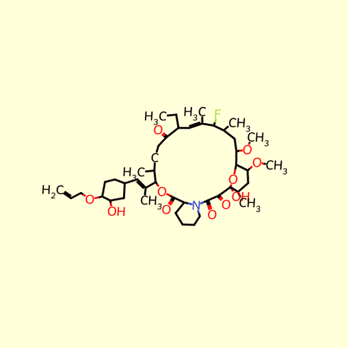 C=CCOC1CCC(C=C(C)C2OC(=O)C3CCCCN3C(=O)C(=O)C3(O)OC(C(OC)CC(C)C(F)/C(C)=C/C(CC)C(=O)CCC2C)C(OC)CC3C)CC1O